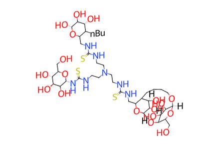 CCCCC1C(CNC(=S)NCCN(CCNC(=S)NCC2O[C@@H]3OC4C(CO)O[C@H](OCCCCC2[C@@H](O)C3O)C(O)[C@@H]4O)CCNC(=S)N[C@H]2OC(CO)[C@@H](O)[C@H](O)C2O)O[C@H](O)C(O)[C@@H]1O